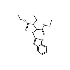 CCOC(=O)C(CC)C(Sc1nc2ccccc2[nH]1)C(=O)OCC